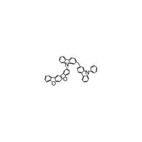 c1ccc(-n2c3ccccc3c3ccc(Cc4ccc5c6ccccc6n(-c6ccc7oc8cc9oc%10ccccc%10c9cc8c7c6)c5c4)cc32)cc1